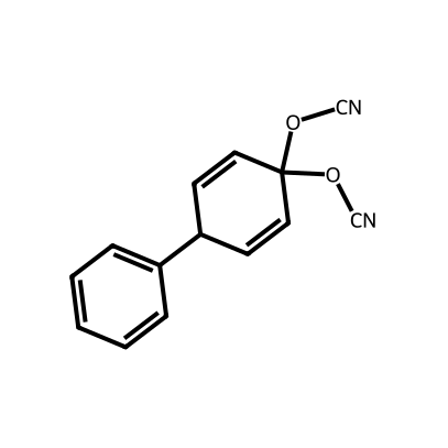 N#COC1(OC#N)C=CC(c2ccccc2)C=C1